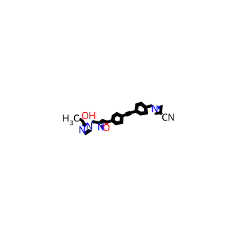 CC(O)c1nccn1Cc1cc(-c2ccc(C#Cc3ccc(CN4CC(C#N)C4)cc3)cc2)on1